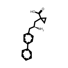 N[C@@H](Cc1ccc(-c2ccccc2)cc1)CC1(C(=O)O)CC1